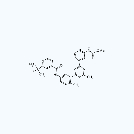 COC(=O)Nc1cc(-c2cc(-c3cc(NC(=O)c4ccnc(C(C)(C)F)c4)ccc3C)nc(C)n2)ccn1